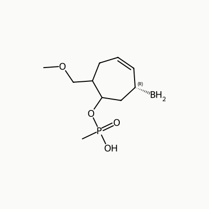 B[C@H]1C=CCC(COC)C(OP(C)(=O)O)C1